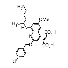 COc1cc(NC(C)CCCN)c2nc(OCc3ccc(Cl)cc3)ccc2c1.O=C(O)C=CC(=O)O